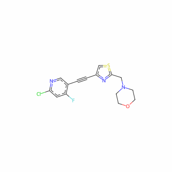 Fc1cc(Cl)ncc1C#Cc1csc(CN2CCOCC2)n1